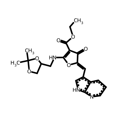 CCOC(=O)C1=C(NCC2COC(C)(C)O2)O/C(=C\c2c[nH]c3ncccc23)C1=O